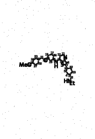 CCNCc1ccc(-c2cc3nccc(Nc4cccc(OCc5ccc(OC)cc5)c4)c3s2)cc1